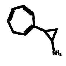 NC1CC1C1=CCC=CC=C1